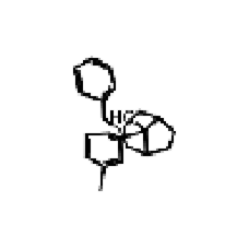 Cc1cccc(C2(O)C3CCC2CN(Cc2ccccc2)C3)c1